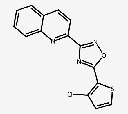 Clc1ccsc1-c1nc(-c2ccc3ccccc3n2)no1